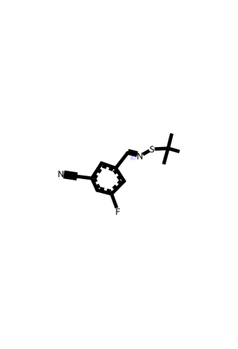 CC(C)(C)S/N=C/c1cc(F)cc(C#N)c1